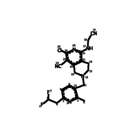 Cc1nc(CC(F)F)ccc1CN1CCc2c(NCC#N)nc(Cl)c(C#N)c2C1